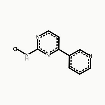 ClNc1nccc(-c2cccnc2)n1